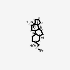 CCOC[C@@]1(O)CC[C@H]2[C@@H](CC[C@@H]3[C@@H]2CC[C@]2(C)CCC[C@@H]32)C1